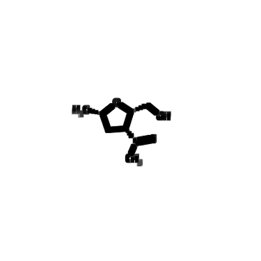 C[C@H]1C[C@@H](S(C)=S)[C@@H](CO)O1